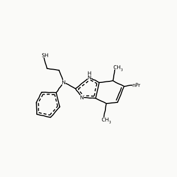 CCCC1=CC(C)c2nc(N(CCS)c3ccccc3)[nH]c2C1C